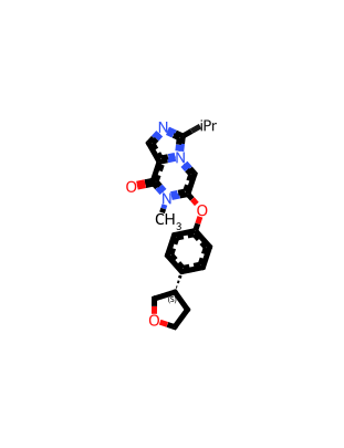 CC(C)c1ncc2c(=O)n(C)c(Oc3ccc([C@@H]4CCOC4)cc3)cn12